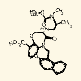 COc1ccc2ccccc2c1CN1C(=O)[C@@H](NC[C@H](C)N(C)C(=O)OC(C)(C)C)COc2c(C(=O)O)cccc21